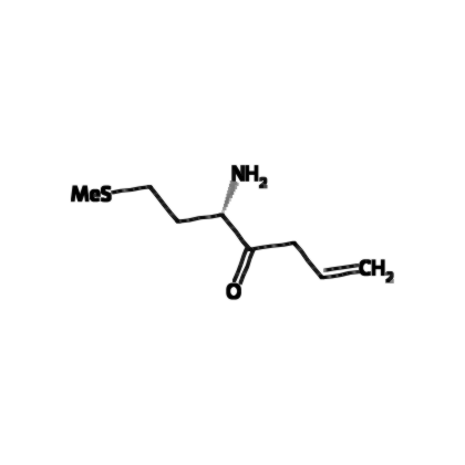 C=CCC(=O)[C@@H](N)CCSC